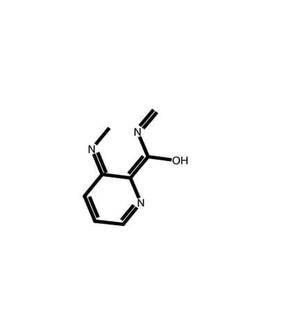 C=N/C(O)=C1/N=CC=C/C1=N/C